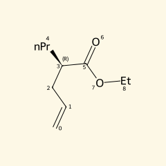 C=CC[C@@H](CCC)C(=O)OCC